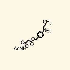 C=CCN(CC)c1ccc(COC(=O)CC(=O)ONC(C)=O)cc1